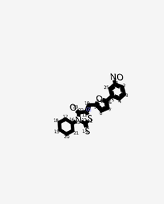 O=Nc1cccc(-c2ccc(/C=C3\SC(=S)N(C4CCCCC4)C3=O)o2)c1